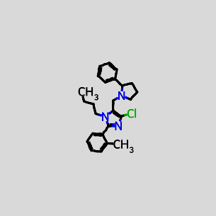 CCCCn1c(-c2ccccc2C)nc(Cl)c1CN1CCCC1c1ccccc1